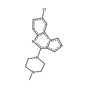 CN1CCN(c2nc3ccc(Cl)cc3n3cccc23)CC1